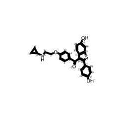 O=C(c1ccc(OCCNC2CC2)cc1)c1c(-c2ccc(O)cc2)sc2cc(O)ccc12